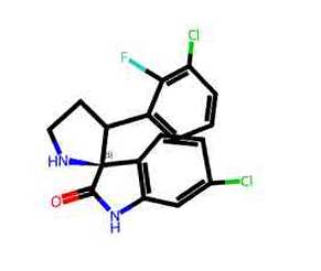 O=C1Nc2cc(Cl)ccc2[C@]12NCCC2c1cccc(Cl)c1F